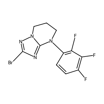 Fc1ccc(N2CCCn3nc(Br)nc32)c(F)c1F